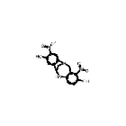 O=[N+]([O-])c1cc2c(cc1O)C1CN2Cc2c(ccc(O)c2[N+](=O)[O-])N1